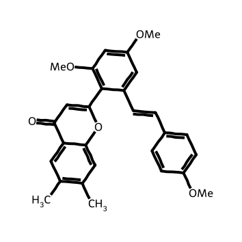 COc1ccc(C=Cc2cc(OC)cc(OC)c2-c2cc(=O)c3cc(C)c(C)cc3o2)cc1